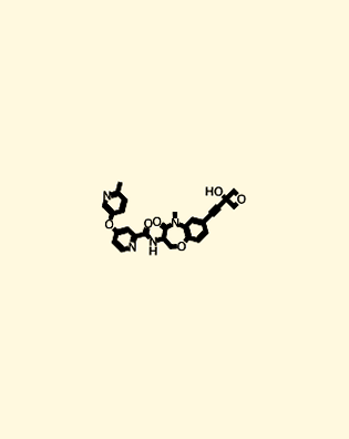 Cc1ccc(Oc2ccnc(C(=O)NC3COc4ccc(C#CC5(O)COC5)cc4N(C)C3=O)c2)cn1